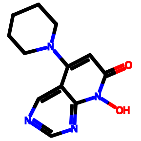 O=c1cc(N2CCCCC2)c2cncnc2n1O